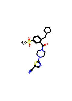 CS(=O)(=O)c1ccc(CC2CCCC2)c(C(=O)N2CCN(c3ncc(C#N)s3)CC2)c1